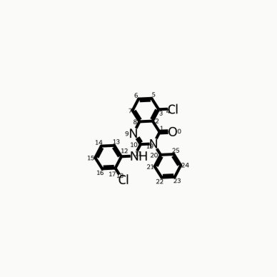 O=c1c2c(Cl)cccc2nc(Nc2ccccc2Cl)n1-c1ccccc1